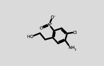 Nc1cc(CCO)c([N+](=O)[O-])cc1Cl